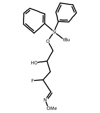 CON=CC(F)CC(O)CO[Si](c1ccccc1)(c1ccccc1)C(C)(C)C